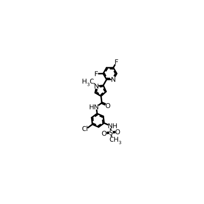 Cn1cc(C(=O)Nc2cc(Cl)cc(NS(C)(=O)=O)c2)cc1-c1ncc(F)cc1F